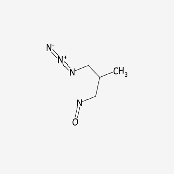 CC(CN=O)CN=[N+]=[N-]